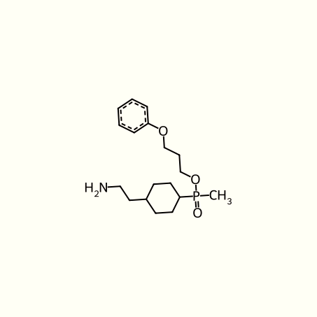 CP(=O)(OCCCOc1ccccc1)C1CCC(CCN)CC1